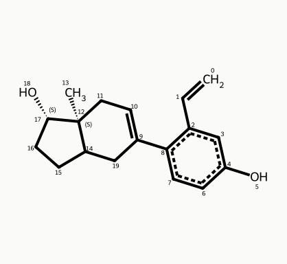 C=Cc1cc(O)ccc1C1=CC[C@@]2(C)C(CC[C@@H]2O)C1